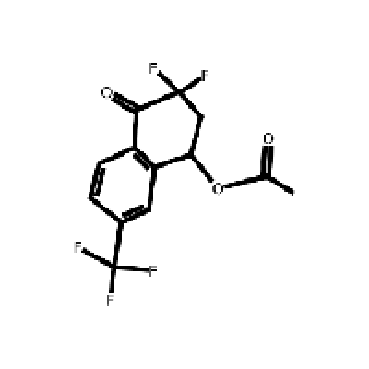 CC(=O)OC1CC(F)(F)C(=O)c2ccc(C(F)(F)F)cc21